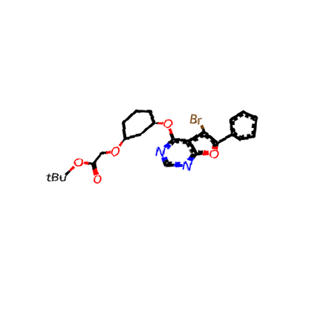 CC(C)(C)OC(=O)CO[C@H]1CCC[C@@H](Oc2ncnc3oc(-c4ccccc4)c(Br)c23)C1